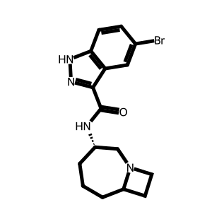 O=C(N[C@H]1CCCC2CCN2C1)c1n[nH]c2ccc(Br)cc12